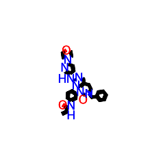 C=CC(=O)Nc1cccc(N2C(=O)N(Cc3ccccc3)CCc3cnc(Nc4ccc(N5CCOCC5)nc4)nc32)c1